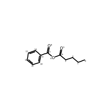 CCC[CH]C(=O)OC(=O)c1ccccc1